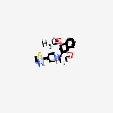 COc1cc(CN2CCC(c3nccs3)CC2)c(OC)c2ccccc12